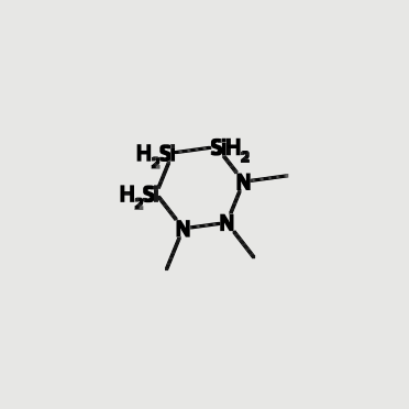 CN1[SiH2][SiH2][SiH2]N(C)N1C